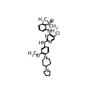 COc1cc(Nc2ncc(Cl)c(Nc3ccccc3P(C)(C)=O)n2)ccc1N1CCC(N2CCCC2)CC1